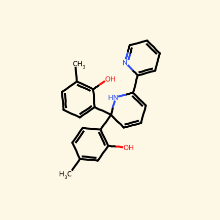 Cc1ccc(C2(c3cccc(C)c3O)C=CC=C(c3ccccn3)N2)c(O)c1